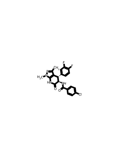 Cc1nn(C)c2c1[C@H](c1ccc(F)c(F)c1)[C@@H](NC(=O)c1ccc(Cl)cc1)C(=O)N2